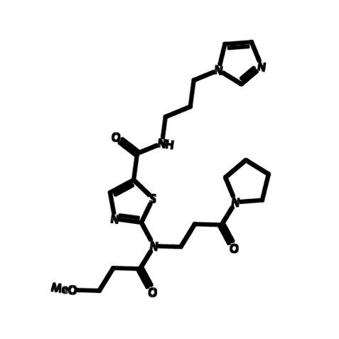 COCCC(=O)N(CCC(=O)N1CCCC1)c1ncc(C(=O)NCCCn2ccnc2)s1